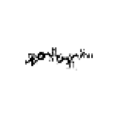 Cc1nc(COC(=O)O)sc1-c1csc(NC(=O)Cc2ccc(S(=O)(=O)C(F)(F)F)cc2)n1